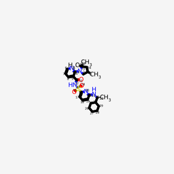 CC1CN(c2ncccc2C(=O)NS(=O)(=O)c2cccc(N[C@H](C)C3CCCCC3)n2)C(C)(C)C1